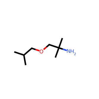 CC(C)COCC(C)(C)N